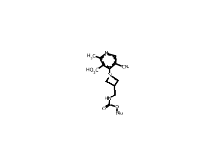 Cc1ncc(C#N)c(N2CC(CNC(=O)OC(C)(C)C)C2)c1C(=O)O